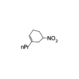 CCCC1=CCCC([N+](=O)[O-])C1